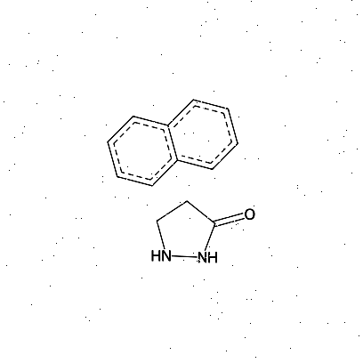 O=C1CCNN1.c1ccc2ccccc2c1